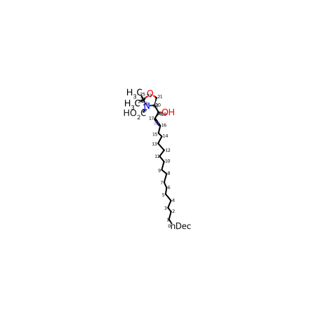 CCCCCCCCCCCCCCCCCCCCCCCCC/C=C/[C@@H](O)[C@@H]1COC(C)(C)N1C(=O)O